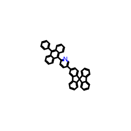 c1ccc(-c2c3ccccc3c(-c3ccc(-c4ccc5c(c4)-c4ccccc4C54c5ccccc5-c5ccccc54)cn3)c3ccccc23)cc1